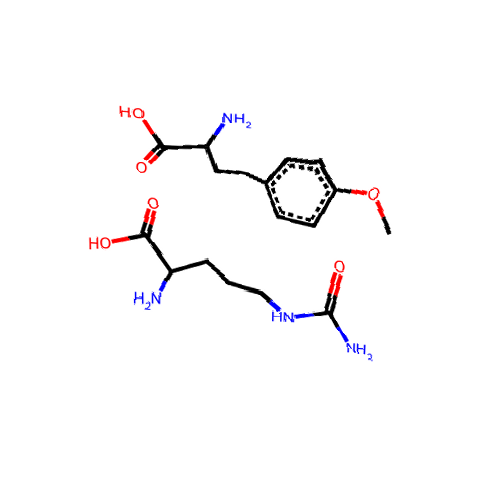 COc1ccc(CC(N)C(=O)O)cc1.NC(=O)NCCCC(N)C(=O)O